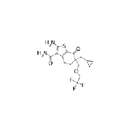 NC(=O)c1c(N)sc2c1CCC(COCC(F)(F)F)(CC1CC1)C2=O